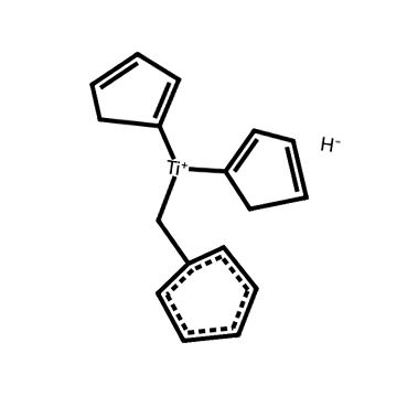 C1=CC[C]([Ti+]([CH2]c2ccccc2)[C]2=CC=CC2)=C1.[H-]